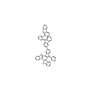 c1ccc(-n2c3ccc(-c4ccc5c(c4)c4ccccc4n5-c4ccccc4-c4cccc5c4sc4ccccc45)cc3c3c4oc5ccccc5c4c4sc5ccccc5c4c32)cc1